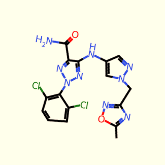 Cc1nc(Cn2cc(Nc3nn(-c4c(Cl)cccc4Cl)nc3C(N)=O)cn2)no1